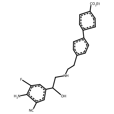 CCOC(=O)c1ccc(-c2ccc(CCNCC(O)c3cc(F)c(N)c(C#N)c3)cc2)cc1